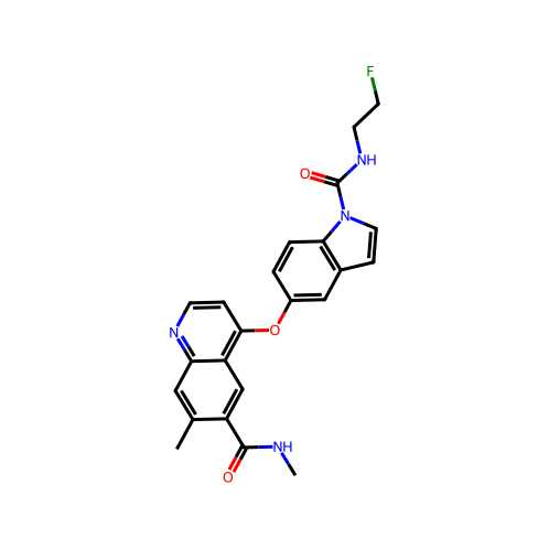 CNC(=O)c1cc2c(Oc3ccc4c(ccn4C(=O)NCCF)c3)ccnc2cc1C